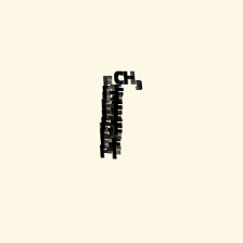 CCC(F)C(F)(F)C(F)(F)C(F)(F)C(F)(F)C(F)(F)C(F)(F)C(F)(F)C(F)(F)C(F)(F)[C](F)F